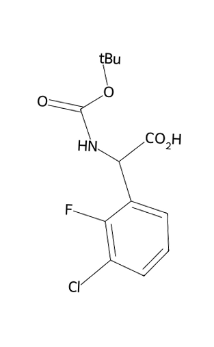 CC(C)(C)OC(=O)NC(C(=O)O)c1cccc(Cl)c1F